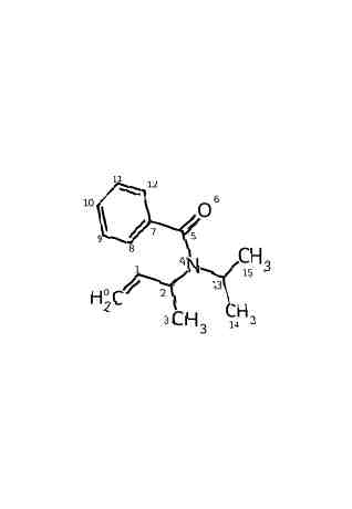 C=CC(C)N(C(=O)c1ccccc1)C(C)C